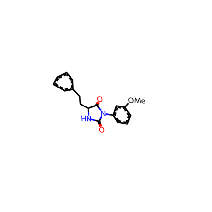 COc1cccc(N2C(=O)NC(CCc3ccccc3)C2=O)c1